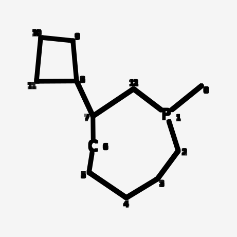 CP1CCCCCC(C2CCC2)C1